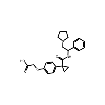 O=C(O)COc1ccc(C2(C(=O)NC(CN3CCCC3)c3ccccc3)CC2)cc1